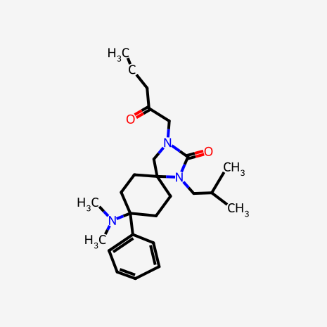 CCCC(=O)CN1CC2(CCC(c3ccccc3)(N(C)C)CC2)N(CC(C)C)C1=O